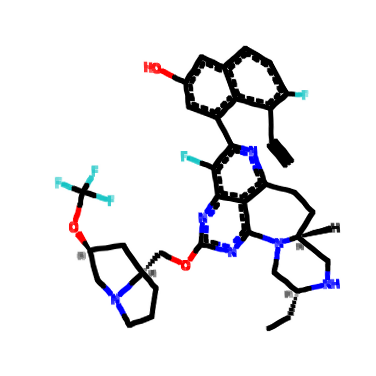 C#Cc1c(F)ccc2cc(O)cc(-c3nc4c5c(nc(OC[C@]67CCCN6C[C@@H](OC(F)(F)F)C7)nc5c3F)N3C[C@@H](CC)NC[C@H]3CC4)c12